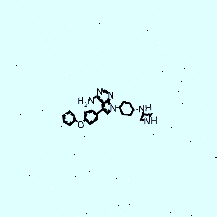 Nc1ncnc2c1c(-c1ccc(Oc3ccccc3)cc1)cn2[C@H]1CC[C@@H](NC2CNC2)CC1